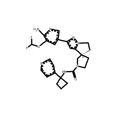 Nc1ncc(-c2cc3n(n2)CC[C@@]32CCN(C(=O)NC3(c4ccncc4)CCC3)C2)cc1OC(F)F